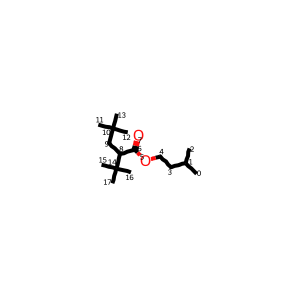 CC(C)CCOC(=O)C(CC(C)(C)C)C(C)(C)C